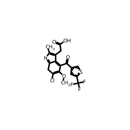 COC1=C(Cl)CC2=NC(C)=C(CC(=O)O)C2=C1C(=O)c1csc(C(F)(F)F)c1